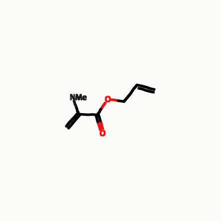 C=CCOC(=O)C(=C)NC